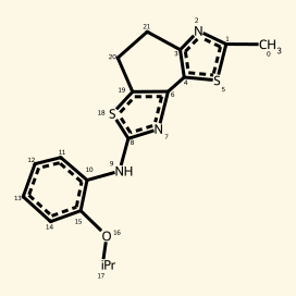 Cc1nc2c(s1)-c1nc(Nc3ccccc3OC(C)C)sc1CC2